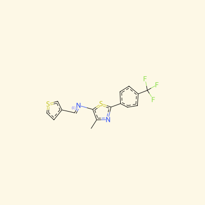 Cc1nc(-c2ccc(C(F)(F)F)cc2)sc1/N=C/c1ccsc1